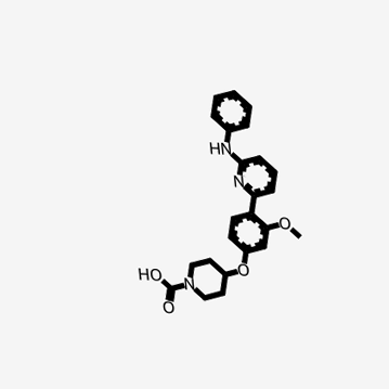 COc1cc(OC2CCN(C(=O)O)CC2)ccc1-c1cccc(Nc2ccccc2)n1